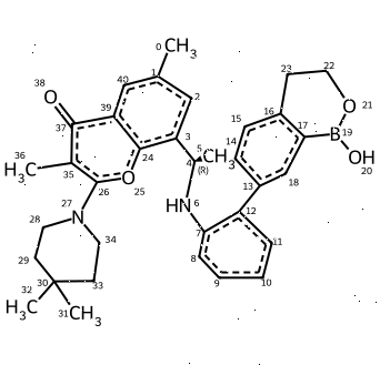 Cc1cc([C@@H](C)Nc2ccccc2-c2ccc3c(c2)B(O)OCC3)c2oc(N3CCC(C)(C)CC3)c(C)c(=O)c2c1